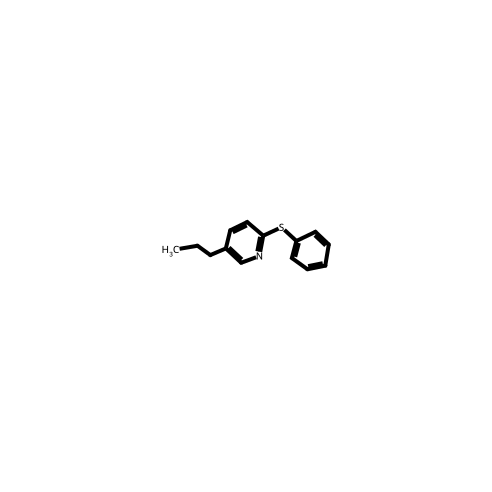 CCCc1ccc(Sc2ccccc2)nc1